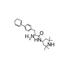 CC1(C)CC(NC(=O)C(N)Cc2ccc(C3=CCCC=C3)cc2)CC(C)(C)N1